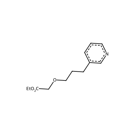 CCOC(=O)COCCCc1cccnc1